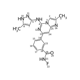 Cc1cn2c(Nc3cc(C)[nH]n3)nc(-c3cccc(C(=O)NF)c3)cc2n1